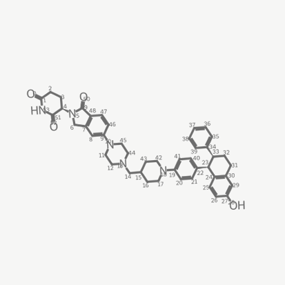 O=C1CC[C@@H](N2Cc3cc(N4CCN(CC5CCN(c6ccc([C@@H]7c8ccc(O)cc8CC[C@@H]7c7ccccc7)cc6)CC5)CC4)ccc3C2=O)C(=O)N1